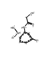 CCCCNCC.CCc1cccc(NC(=O)CO)c1